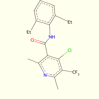 CCc1cccc(CC)c1NC(=O)c1c(C)nc(C)c(C(F)(F)F)c1Cl